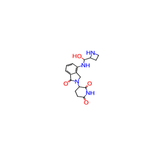 O=C1CCC(N2Cc3c(NC(O)C4CCN4)cccc3C2=O)C(=O)N1